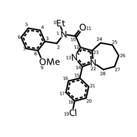 CCN(Cc1ccccc1OC)C(=O)c1nc(-c2ccc(Cl)cc2)n2c1CCCCC2